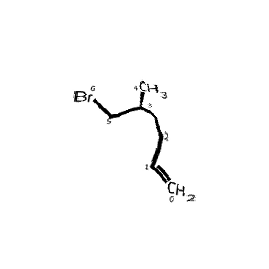 C=CC[C@H](C)CBr